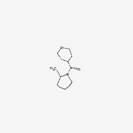 CC1CCCN1C(=O)C1CCOCC1